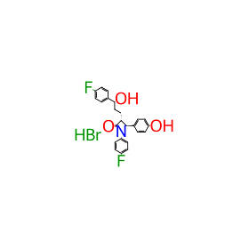 Br.O=C1[C@H](CCC(O)c2ccc(F)cc2)[C@@H](c2ccc(O)cc2)N1c1ccc(F)cc1